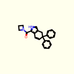 O=C(c1[nH]cc2c1C=CC(c1ccccc1)(c1ccccc1)C2)N1CCC1